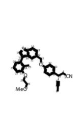 CC#C[C@@H](CC#N)c1ccc(OCc2ccc3scc(-c4cccc(OCCOC)c4C)c3c2)cc1